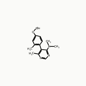 Cc1cc(OC(C)(C)C)ccc1-c1c(C)ncnc1N(C)C